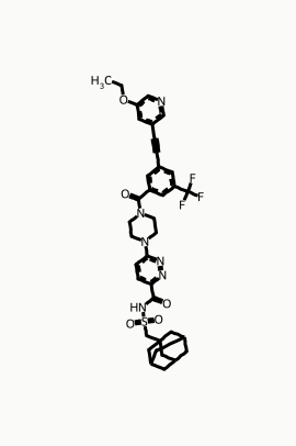 CCOc1cncc(C#Cc2cc(C(=O)N3CCN(c4ccc(C(=O)NS(=O)(=O)CC56CC7CC(CC(C7)C5)C6)nn4)CC3)cc(C(F)(F)F)c2)c1